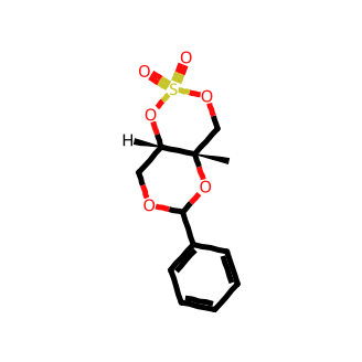 C[C@]12COS(=O)(=O)O[C@H]1COC(c1ccccc1)O2